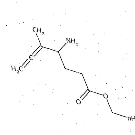 C=C=C(C)C(N)CCC(=O)OCCCCCCCC